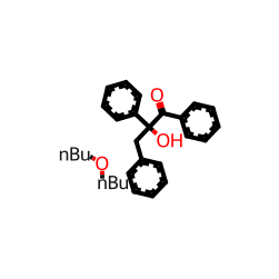 CCCCOCCCC.O=C(c1ccccc1)C(O)(Cc1ccccc1)c1ccccc1